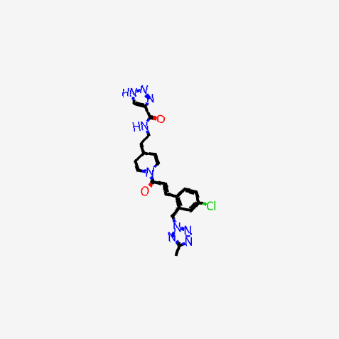 Cc1nnn(Cc2cc(Cl)ccc2C=CC(=O)N2CCC(CCNC(=O)c3c[nH]nn3)CC2)n1